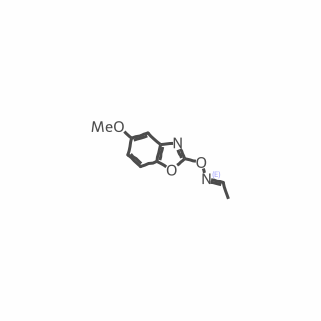 C/C=N/Oc1nc2cc(OC)ccc2o1